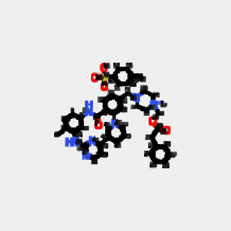 Cc1ccc(NC(=O)c2ccc(CN3CC[N+](C)(COC(=O)Cc4ccccc4)CC3)cc2)cc1Nc1nccc(-c2cccnc2)n1.Cc1ccc(S(=O)(=O)[O-])cc1